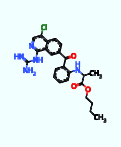 CCCCOC(=O)C(C)Nc1ccccc1C(=O)c1ccc2c(Cl)cnc(NC(=N)N)c2c1